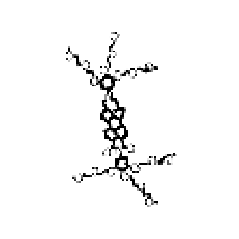 COCCOCCOc1cc(N2Cc3ccc4c5ccc6c7c(ccc(c8ccc(c3c48)C2)c75)C(=O)N(c2cc(OCCOCCOC)c(OCCOCCOC)c(OCCOCCOC)c2)C6=O)cc(OCCOCCOC)c1OCCOCCOC